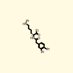 CCC(=O)[C@H](CCCCNC(C)C)NC(=O)Cc1ccc(C(C)C)c(C(C)C)c1